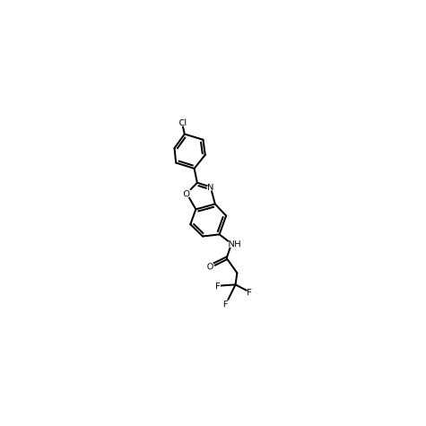 O=C(CC(F)(F)F)Nc1ccc2oc(-c3ccc(Cl)cc3)nc2c1